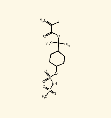 C=C(I)C(=O)OC(C)(C)C1CCC(OS(=O)(=O)NS(=O)(=O)C(F)(F)F)CC1